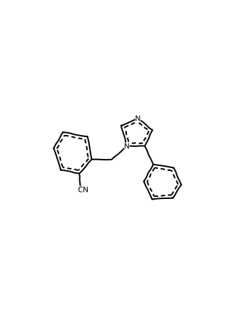 N#Cc1ccccc1Cn1cncc1-c1ccccc1